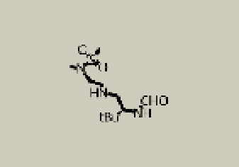 CN(CCNC[C@@H](NC=O)C(C)(C)C)S(C)(=O)=O